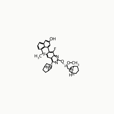 CCc1cccc2cc(O)cc(-c3c(F)cc4c(N5CC6CCC(C5)N6)nc(OC[C@@H](CN5C6CCC[C@@H]5CC6)OC)nc4c3F)c12